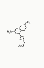 CC(=O)OCC1CC(c2cc(N)cc3c2CCN(C)C3)C1